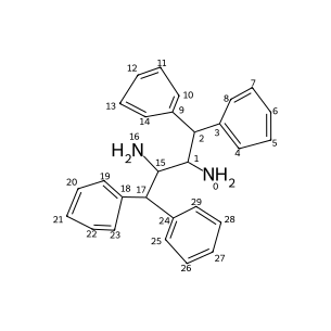 NC(C(c1ccccc1)c1ccccc1)C(N)C(c1ccccc1)c1ccccc1